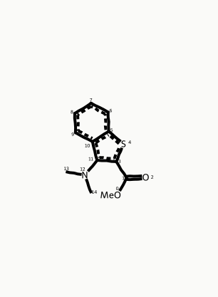 COC(=O)c1sc2ccccc2c1N(C)C